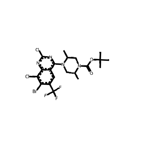 CC1CN(c2nc(Cl)nc3c(Cl)c(Br)c(C(F)(F)F)cc23)C(C)CN1C(=O)OC(C)(C)C